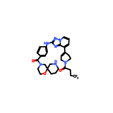 O=C(CCC(F)(F)F)N1CC=C(c2cccn3nc(Nc4ccc(C(=O)N5CCOC6(CCCNC6)C5)cc4)nc23)CC1